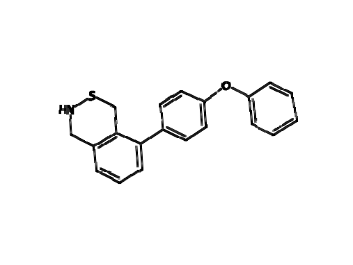 c1ccc(Oc2ccc(-c3cccc4c3CSNC4)cc2)cc1